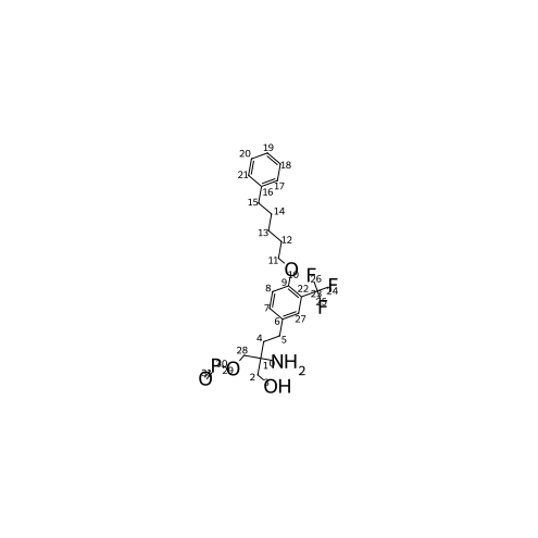 NC(CO)(CCc1ccc(OCCCCCc2ccccc2)c(C(F)(F)F)c1)COP=O